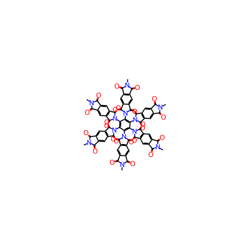 C=C1c2cc3c(cc2C(=O)N1c1c(-n2c(=O)c4cc5c(=O)n(C)c(=O)c5cc4c2=O)c(-n2c(=O)c4cc5c(=O)n(C)c(=O)c5cc4c2=O)c(-n2c(=O)c4cc5c(=O)n(C)c(=O)c5cc4c2=O)c(-n2c(=O)c4cc5c(=O)n(C)c(=O)c5cc4c2=O)c1-n1c(=O)c2cc4c(=O)n(C)c(=O)c4cc2c1=O)C(=O)N(C)C3=O